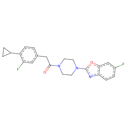 O=C(Cc1ccc(C2CC2)c(F)c1)N1CCN(c2nc3ccc(F)cc3o2)CC1